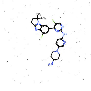 CC1(C)CCc2nc3c(F)cc(-c4nc(Nc5ccc(N6CCC(N)CC6)cn5)ncc4F)cc3n21